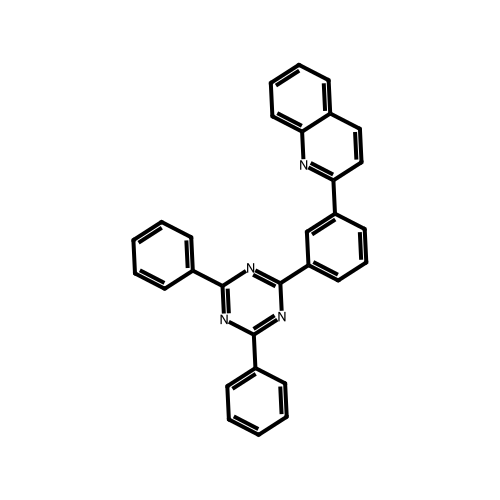 c1ccc(-c2nc(-c3ccccc3)nc(-c3cccc(-c4ccc5ccccc5n4)c3)n2)cc1